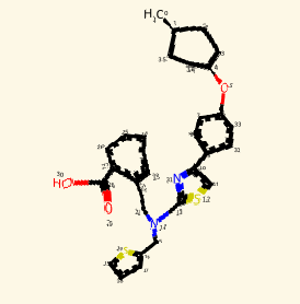 C[C@H]1CC[C@@H](Oc2ccc(-c3csc(N(Cc4cccs4)Cc4ccccc4C(=O)O)n3)cc2)CC1